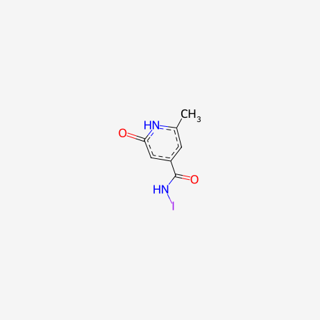 Cc1cc(C(=O)NI)cc(=O)[nH]1